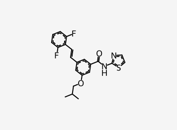 CC(C)COc1cc(/C=C/c2c(F)cccc2F)cc(C(=O)Nc2nccs2)c1